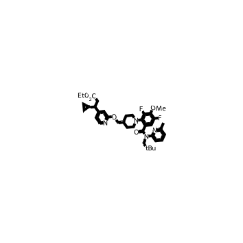 CCOC(=O)CC(c1ccnc(OCC2CCN(c3c(C(=O)N(CC(C)(C)C)c4cccc(C)n4)cc(F)c(OC)c3F)CC2)c1)C1CC1